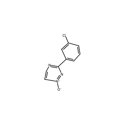 [O-][n+]1ccnc(-c2cccc(Cl)c2)n1